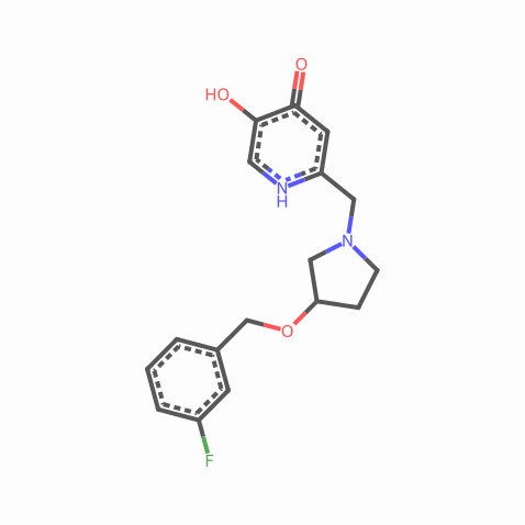 O=c1cc(CN2CCC(OCc3cccc(F)c3)C2)[nH]cc1O